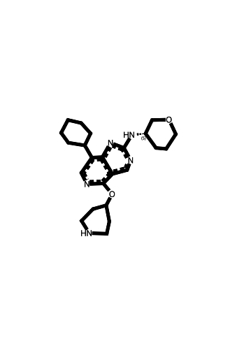 c1nc(OC2CCNCC2)c2cnc(N[C@H]3CCCOC3)nc2c1C1CCCCC1